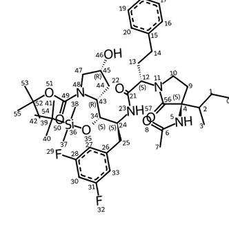 CCC(C)[C@@]1(NC(C)=O)CCN([C@@H](CCc2ccccc2)C(=O)N[C@@H](Cc2cc(F)cc(F)c2)[C@H](O[Si](C)(C)C(C)(C)C)[C@H]2C[C@@H](O)CN2C(=O)OC(C)(C)C)C1=O